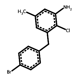 Cc1cc(N)c(Cl)c(Cc2ccc(Br)cc2)c1